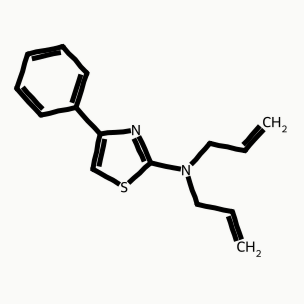 C=CCN(CC=C)c1nc(-c2ccccc2)cs1